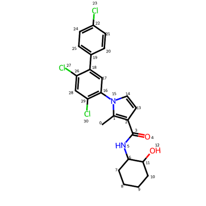 Cc1c(C(=O)NC2CCCCC2O)ccn1-c1cc(-c2ccc(Cl)cc2)c(Cl)cc1Cl